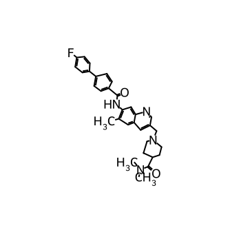 Cc1cc2cc(CN3CCC(C(=O)N(C)C)CC3)cnc2cc1NC(=O)c1ccc(-c2ccc(F)cc2)cc1